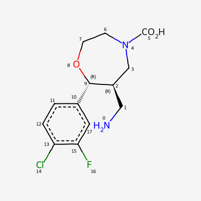 NC[C@@H]1CN(C(=O)O)CCO[C@H]1c1ccc(Cl)c(F)c1